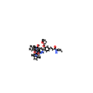 CNC(=O)/C=C/c1ccc(-c2cc3c(nn2)N(C2C[C@H]4CC[C@@H](C2)N4C(=O)OC(C)(C)C)CN(C)C3=O)c(OCOC)c1